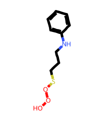 OOOSCCCNc1ccccc1